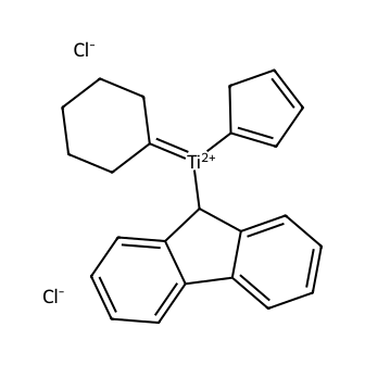 C1=CC[C]([Ti+2](=[C]2CCCCC2)[CH]2c3ccccc3-c3ccccc32)=C1.[Cl-].[Cl-]